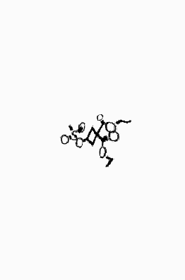 CCOC(=O)C1(C(=O)OCC)CC(OS(C)(=O)=O)C1